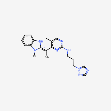 CCN1/C(=C(\C#N)c2nc(NCCCn3cncn3)ncc2C)Nc2ccccc21